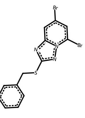 Brc1cc(Br)n2nc(SCc3ccccc3)nc2c1